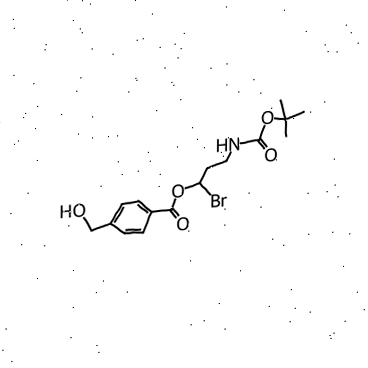 CC(C)(C)OC(=O)NCCC(Br)OC(=O)c1ccc(CO)cc1